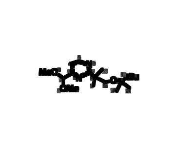 COC(OC)c1ccnc(C(C)(C)CO[Si](C)(C)C(C)(C)C)n1